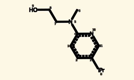 CC(C)c1ccc(N(C)CCO)nc1